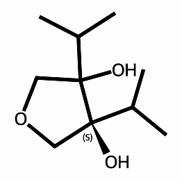 CC(C)C1(O)COC[C@@]1(O)C(C)C